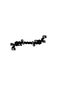 CCN(CCC#N)c1ccc(/C=C(\C#N)C(=O)OCCCCCCOC(=O)/C(C#N)=C/c2ccc(N(CC)CCC#N)cc2)cc1